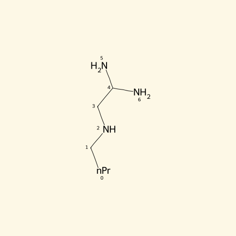 CCCCNCC(N)N